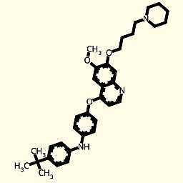 COc1cc2c(Oc3ccc(Nc4ccc(C(C)(C)C)cc4)cc3)ccnc2cc1OCCCCN1CCCCC1